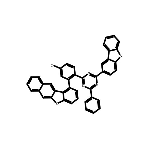 Clc1ccc(-c2nc(-c3ccccc3)nc(-c3ccc4sc5ccccc5c4c3)n2)c(-c2cccc3sc4cc5ccccc5cc4c23)c1